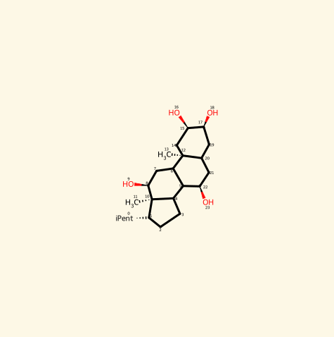 CCC[C@@H](C)C1CCC2C3C(C[C@H](O)[C@@]21C)[C@@]1(C)C[C@@H](O)[C@@H](O)CC1C[C@H]3O